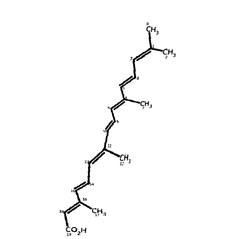 CC(C)=C/C=C/C(C)=C/C=C/C(C)=C/C=C/C(C)=C/C(=O)O